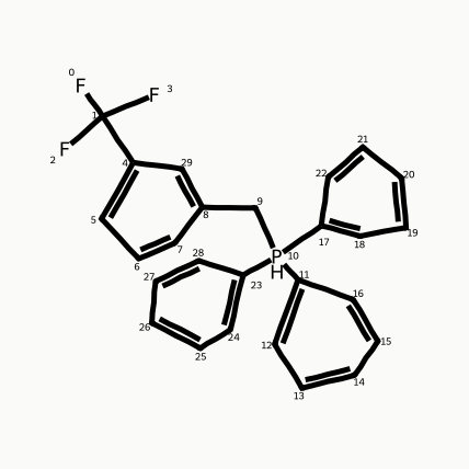 FC(F)(F)c1cccc(C[PH](c2ccccc2)(c2ccccc2)c2ccccc2)c1